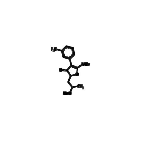 CNC1=C(c2cccc(C(F)(F)F)c2)C(=O)C(CC(C)OC)O1